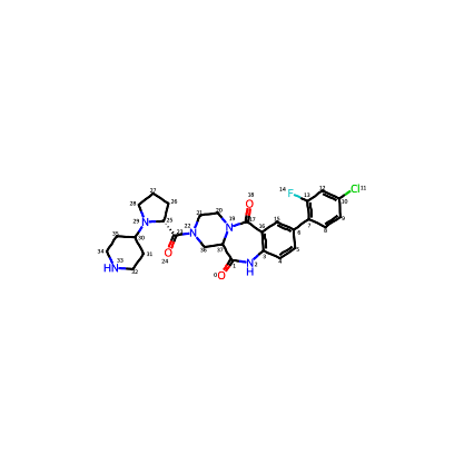 O=C1Nc2ccc(-c3ccc(Cl)cc3F)cc2C(=O)N2CCN(C(=O)[C@H]3CCCN3C3CCNCC3)CC12